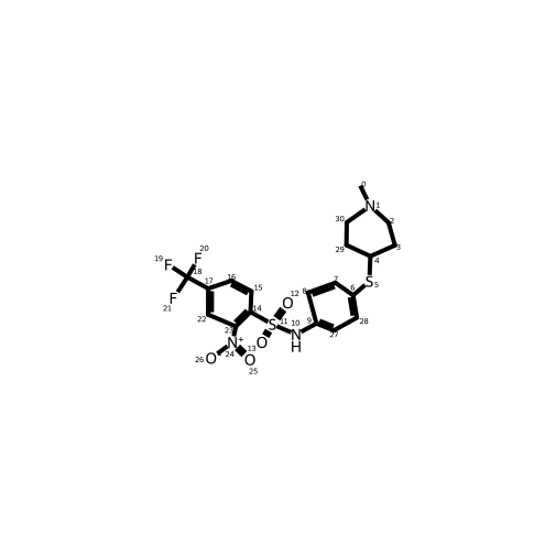 CN1CCC(Sc2ccc(NS(=O)(=O)c3ccc(C(F)(F)F)cc3[N+](=O)[O-])cc2)CC1